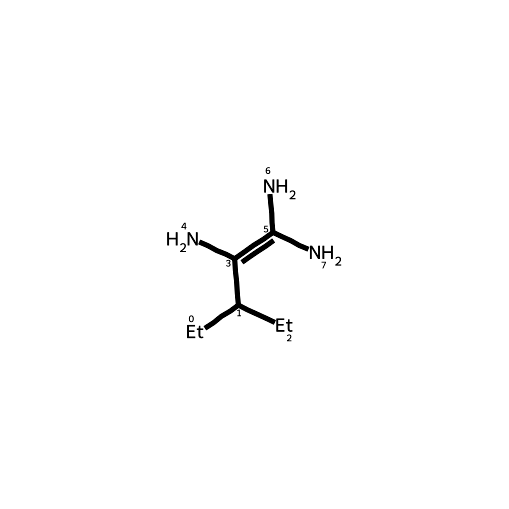 CCC(CC)C(N)=C(N)N